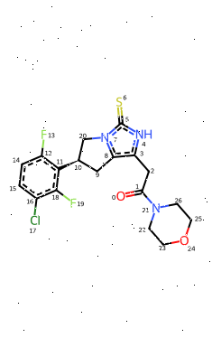 O=C(Cc1[nH]c(=S)n2c1C[C@@H](c1c(F)ccc(Cl)c1F)C2)N1CCOCC1